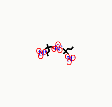 CCCC(C)(CO[N+](=O)[O-])CO[N+](=O)OCC(C)(CCC)CO[N+](=O)[O-]